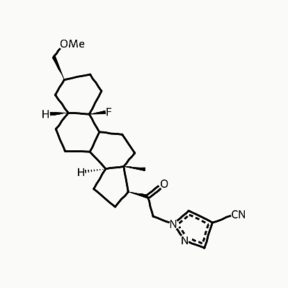 COC[C@H]1CC[C@]2(F)C3CC[C@]4(C)[C@@H](C(=O)Cn5cc(C#N)cn5)CC[C@H]4C3CC[C@@H]2C1